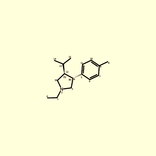 CCN1C[C@@H](c2ccc(C)cc2)[C@H](C(C)C)C1